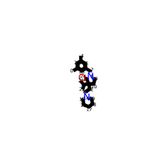 Cc1cc(C)cc(CN2CCC(CCN3CCCCC3)(C(C)C)C2=O)c1